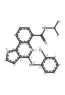 CC(C)NC(=O)c1cccc2c1nc(Nc1ccccc1Cl)c1ccsc12